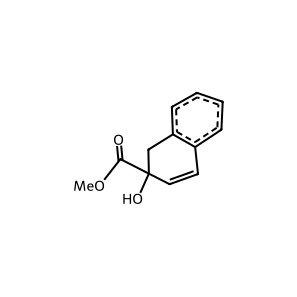 COC(=O)C1(O)C=Cc2ccccc2C1